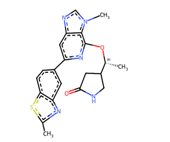 Cc1nc2cc(-c3cc4ncn(C)c4c(O[C@H](C)C4CNC(=O)C4)n3)ccc2s1